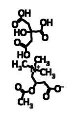 CC(=O)OC(CC(=O)[O-])C[N+](C)(C)C.O=C(O)CC(O)(CC(=O)O)C(=O)O